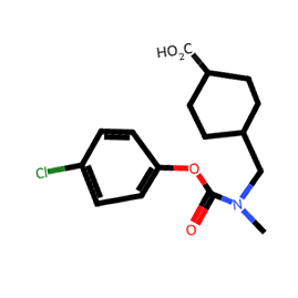 CN(CC1CCC(C(=O)O)CC1)C(=O)Oc1ccc(Cl)cc1